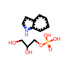 O=P(O)(O)OCC(O)CO.c1ccc2[nH]ccc2c1